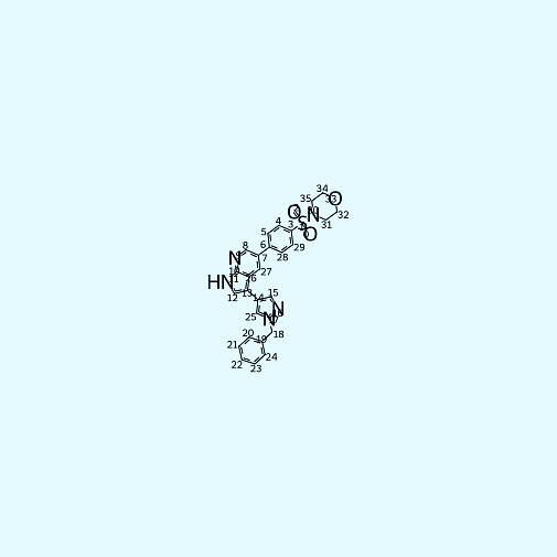 O=S(=O)(c1ccc(-c2cnc3[nH]cc(-c4cnn(Cc5ccccc5)c4)c3c2)cc1)N1CCOCC1